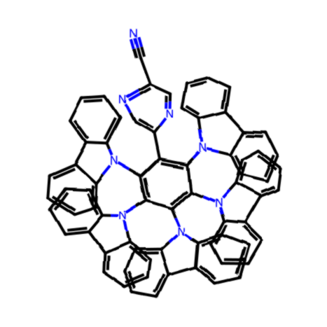 N#Cc1cnc(-c2c(-n3c4ccccc4c4ccccc43)c(-n3c4ccccc4c4ccccc43)c(-n3c4ccccc4c4ccccc43)c(-n3c4ccccc4c4ccccc43)c2-n2c3ccccc3c3ccccc32)cn1